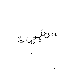 Cc1ccc2c(C(=O)N[C@H]3CCN(CC(=O)N4CCC[C@H]4C)C3)coc2c1